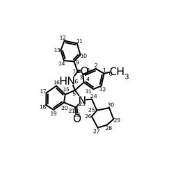 Cc1ccc(C2(NC(=O)c3ccccc3)c3ccccc3C(=O)N2CC2CCCCC2)cc1